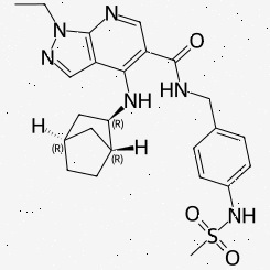 CCn1ncc2c(N[C@@H]3C[C@@H]4CC[C@@H]3C4)c(C(=O)NCc3ccc(NS(C)(=O)=O)cc3)cnc21